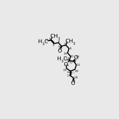 CC(C)=CCC(=O)C(C)CCC[C@]1(C)OC/C(=C/C=O)CCC1=O